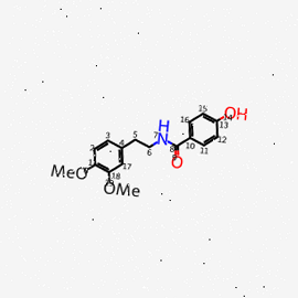 COc1ccc(CCNC(=O)c2ccc(O)cc2)cc1OC